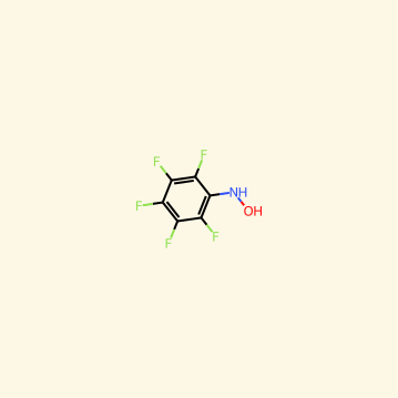 ONc1c(F)c(F)c(F)c(F)c1F